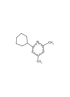 Cc1[c]c(C2CCCCC2)nc(C)c1